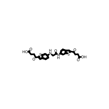 O=C(O)CCC(=O)c1cc2ccc(NCC(=O)Nc3ccc4cc(C(=O)CCC(=O)O)sc4c3)cc2s1